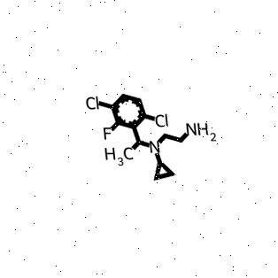 CC(c1c(Cl)ccc(Cl)c1F)N(CCN)C1CC1